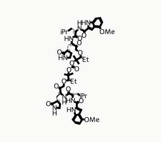 CC[C@@H](OCC(=O)[C@H](C[C@@H]1CCNC1=O)NC(=O)[C@H](CC(C)C)NC(=O)c1cc2c(OC)cccc2[nH]1)C(C)(C)OC(=O)OC(C)(C)[C@@H](CC)OCC(=O)[C@H](C[C@@H]1CCNC1=O)NC(=O)[C@H](CC(C)C)NC(=O)c1cc2c(OC)cccc2[nH]1